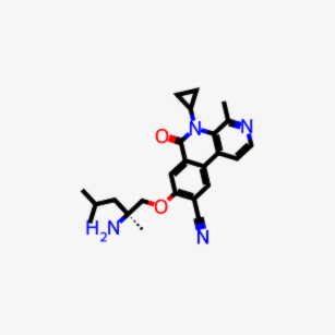 Cc1nccc2c3cc(C#N)c(OC[C@@](C)(N)CC(C)C)cc3c(=O)n(C3CC3)c12